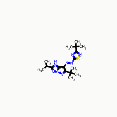 CC(C)c1nn2nc(C(C)(C)C)c(N=Nc3nc(C(C)(C)C)ns3)c2[nH]1